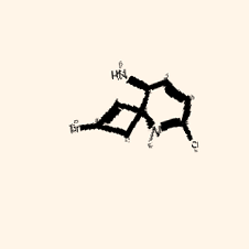 N=C1C=CC(Cl)=NC12C=C(Br)C2